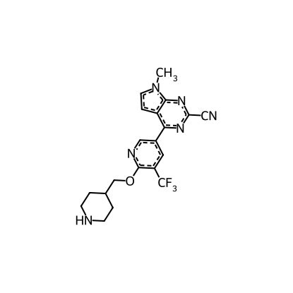 Cn1ccc2c(-c3cnc(OCC4CCNCC4)c(C(F)(F)F)c3)nc(C#N)nc21